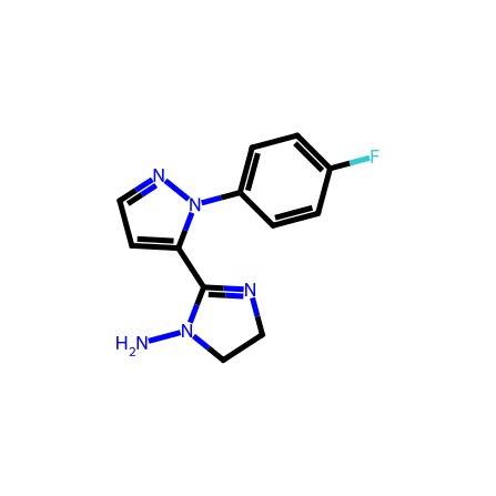 NN1CCN=C1c1ccnn1-c1ccc(F)cc1